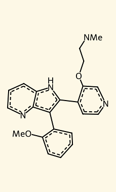 CNCCOc1cnccc1-c1[nH]c2cccnc2c1-c1ccccc1OC